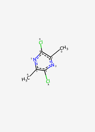 Cc1nc(Cl)c(C)nc1Cl